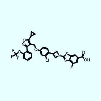 O=C(O)c1cc(F)c2nc(N3CC(c4ccc(OCc5c(-c6ccccc6OC(F)(F)F)noc5C5CC5)cc4Cl)C3)sc2c1